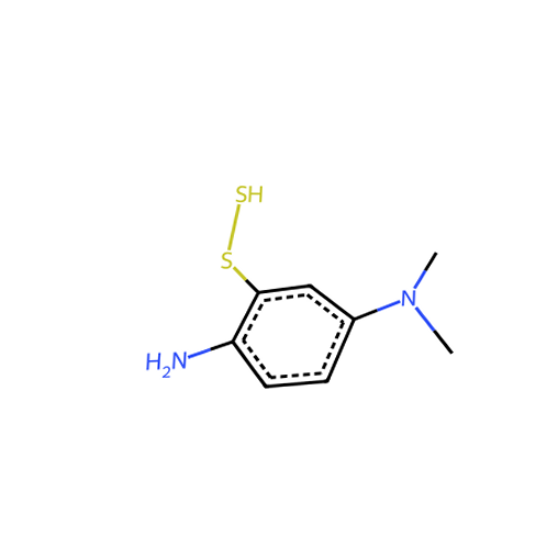 CN(C)c1ccc(N)c(SS)c1